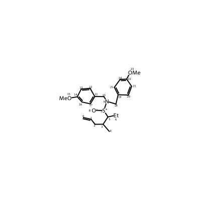 C=CCC(C)C(CC)[S+]([O-])N(Cc1ccc(OC)cc1)Cc1ccc(OC)cc1